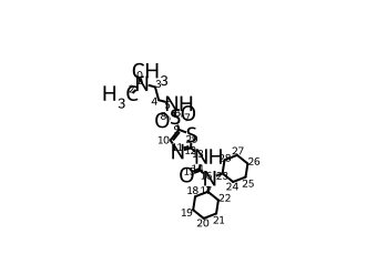 CN(C)CCNS(=O)(=O)c1cnc(NC(=O)N(C2CCCCC2)C2CCCCC2)s1